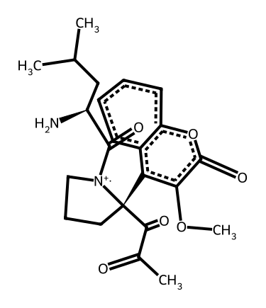 COc1c([C@@]2(C(=O)C(C)=O)CCC[N+]2C(=O)[C@@H](N)CC(C)C)c2ccccc2oc1=O